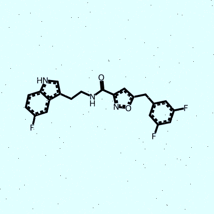 O=C(NCCc1c[nH]c2ccc(F)cc12)c1cc(Cc2cc(F)cc(F)c2)on1